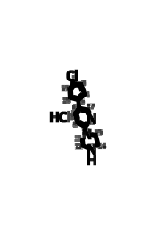 Cl.Clc1ccc(-c2ccc(N3CCNCC3)nc2)cc1